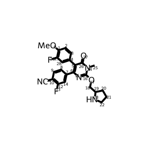 COc1ccc(-c2c(-c3ccc(C#N)c(F)c3)nc(OCC3CCCN3)n(C)c2=O)cc1F